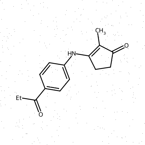 CCC(=O)c1ccc(NC2=C(C)C(=O)CC2)cc1